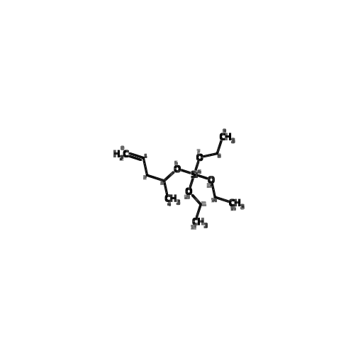 C=CCC(C)O[Si](OCC)(OCC)OCC